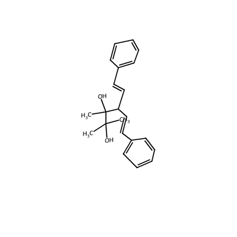 CC(C)(O)C(C)(O)C(C=Cc1ccccc1)C=Cc1ccccc1